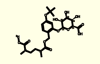 [2H]OC(=O)N(C)CCN(C)C(=O)OCc1ccc(OC(C)(C)C)cc1O[C@@H]1O[C@H](C(=O)O)[C@@H](O)[C@H](O)[C@H]1O